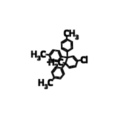 [CH2]C1(c2ccc(C)cc2)C=CC(Cl)=CC1(c1ccc(C)cc1)c1ccc(C)cc1